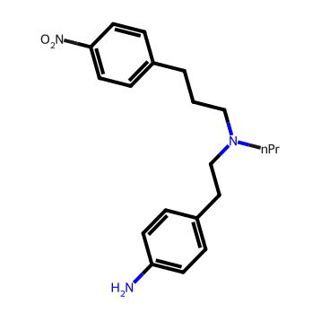 CCCN(CCCc1ccc([N+](=O)[O-])cc1)CCc1ccc(N)cc1